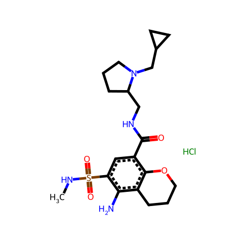 CNS(=O)(=O)c1cc(C(=O)NCC2CCCN2CC2CC2)c2c(c1N)CCCO2.Cl